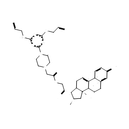 C=CCNc1nc(NCC=C)nc(N2CCN(CC(=O)OCC(=O)[C@H]3[C@H](C)C[C@H]4[C@@H]5CCC6=CC(=O)C=C[C@]6(C)C5=CC[C@@]43C)CC2)n1